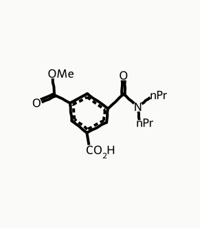 CCCN(CCC)C(=O)c1cc(C(=O)O)cc(C(=O)OC)c1